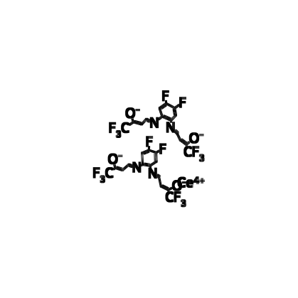 [Ce+4].[O-]/C(=C\C=N\c1cc(F)c(F)cc1/N=C/C=C(\[O-])C(F)(F)F)C(F)(F)F.[O-]/C(=C\C=N\c1cc(F)c(F)cc1/N=C/C=C(\[O-])C(F)(F)F)C(F)(F)F